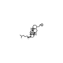 CC(C)CCC[C@@H](C)[C@H]1CC[C@H]2[C@@H]3CCC4C(CC=O)CCC[C@]4(C)[C@H]3CC[C@]12C